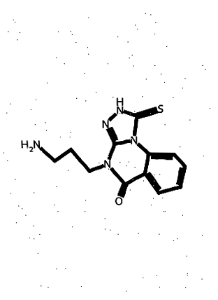 NCCCn1c(=O)c2ccccc2n2c(=S)[nH]nc12